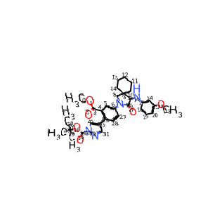 COC(=O)c1cc(N2CC3(CCCCC3)C(Nc3cccc(OC)c3)C2=O)ccc1-c1cnn(C(=O)OC(C)(C)C)c1